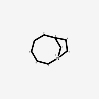 C1CCC2CCN(CC1)C2